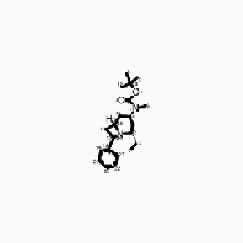 CC[C@H]1C[C@H](N(C)C(=O)OC(C)(C)C)C[C@H]2CC(c3ccccc3)N21